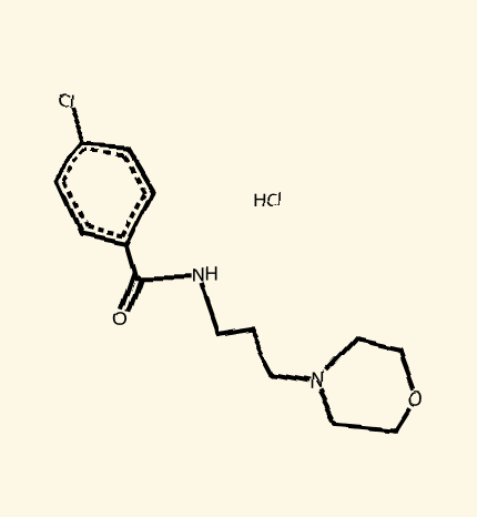 Cl.O=C(NCCCN1CCOCC1)c1ccc(Cl)cc1